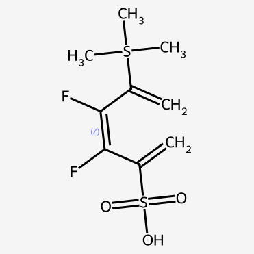 C=C(/C(F)=C(/F)C(=C)S(=O)(=O)O)S(C)(C)C